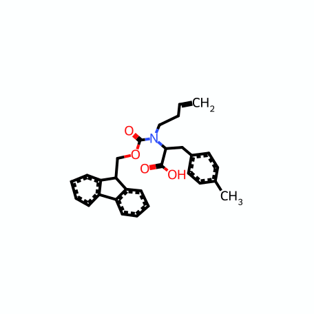 C=CCCN(C(=O)OCC1c2ccccc2-c2ccccc21)C(Cc1ccc(C)cc1)C(=O)O